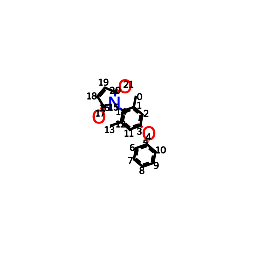 Cc1cc(Oc2ccccc2)cc(C)c1N1C(=O)C=CC1=O